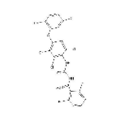 O=C(NC(=O)c1c(F)cccc1F)Nc1c(Cl)cc(Oc2cc(Cl)ccc2Cl)c(Cl)c1Cl